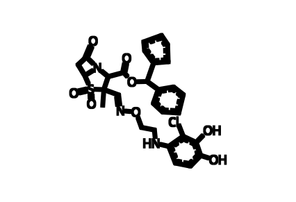 CC1(/C=N/OCCNc2ccc(O)c(O)c2Cl)C(C(=O)OC(c2ccccc2)c2ccccc2)N2C(=O)CC2S1(=O)=O